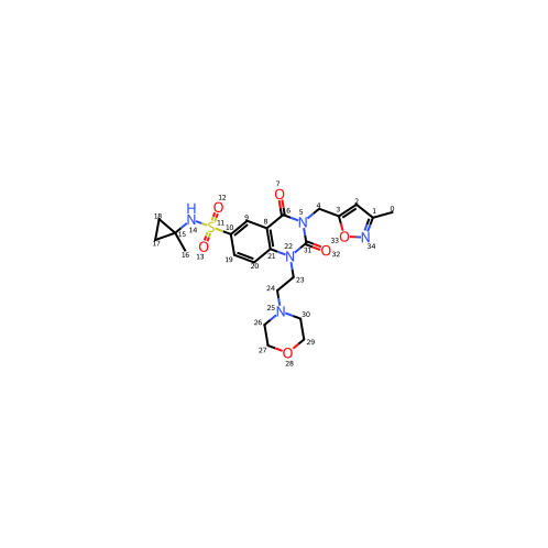 Cc1cc(Cn2c(=O)c3cc(S(=O)(=O)NC4(C)CC4)ccc3n(CCN3CCOCC3)c2=O)on1